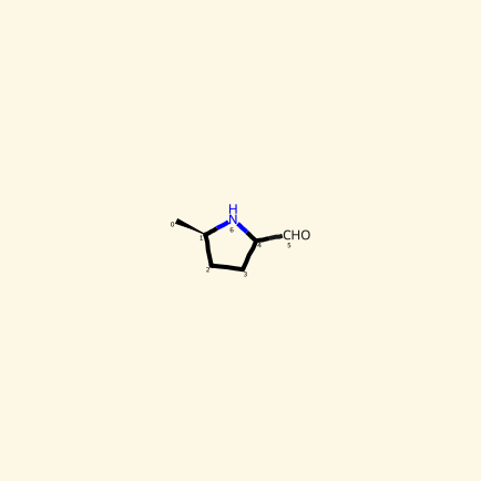 C[C@@H]1CCC(C=O)N1